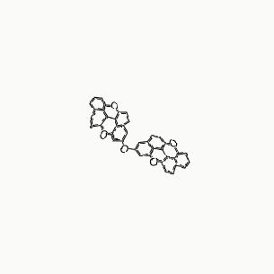 c1cc2ccc3oc4cc(Oc5cc6ccc7oc8cccc9ccc%10oc(c5)c6c7-c%10c98)cc5ccc6oc(c1)c2c3-c6c54